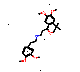 COc1ccc(CCNCCC2OCC(C)(C)c3cc(OC)c(OC)cc32)cc1OC